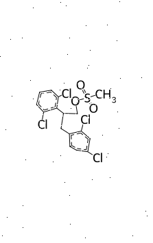 CS(=O)(=O)OCC(Cc1ccc(Cl)cc1Cl)c1c(Cl)cccc1Cl